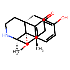 CO[C@@]12[C@H](C)CC(=O)C[C@@]13CCN[C@@H]2Cc1ccc(O)cc13